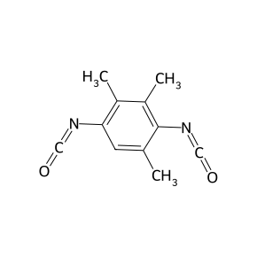 Cc1cc(N=C=O)c(C)c(C)c1N=C=O